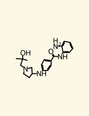 CC(C)(O)CN1CCC(Nc2ccc(C(=O)Nc3ccccc3N)cc2)C1